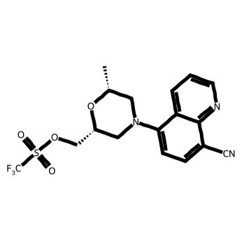 C[C@@H]1CN(c2ccc(C#N)c3ncccc23)C[C@H](COS(=O)(=O)C(F)(F)F)O1